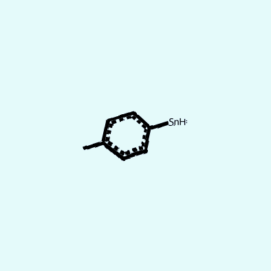 Cc1cc[c]([SnH])cc1